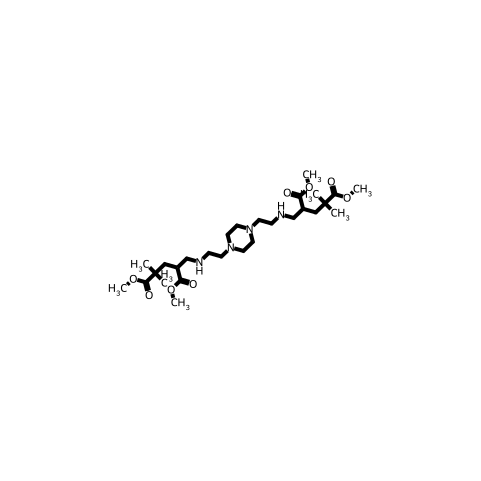 COC(=O)C(CNCCN1CCN(CCNCC(CC(C)(C)C(=O)OC)C(=O)OC)CC1)CC(C)(C)C(=O)OC